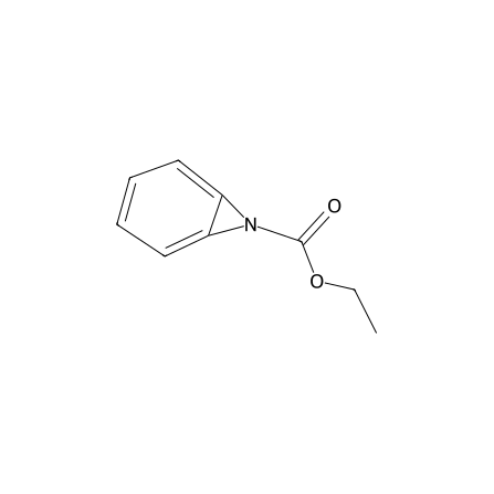 CCOC(=O)N1c2ccccc21